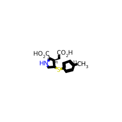 [11CH3]c1ccc(SC2CN[C@H](C(=O)O)[C@H]2CC(=O)O)cc1